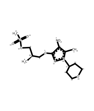 Cc1c([N+](=O)[O-])c(OC[C@@H](C)COS(C)(=O)=O)nn1C1CCOCC1